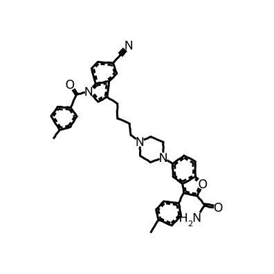 Cc1ccc(C(=O)n2cc(CCCCN3CCN(c4ccc5oc(C(N)=O)c(-c6ccc(C)cc6)c5c4)CC3)c3cc(C#N)ccc32)cc1